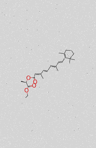 CCOC(=O)[C@@H](C)OC(=O)/C=C(C)/C=C/C=C(C)/C=C/C1=C(C)CCCC1(C)C